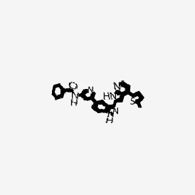 Cc1ccc(-c2ccnc3[nH]c(-c4n[nH]c5ccc(-c6cncc(NC(=O)C7CCCCC7)c6)cc45)cc23)s1